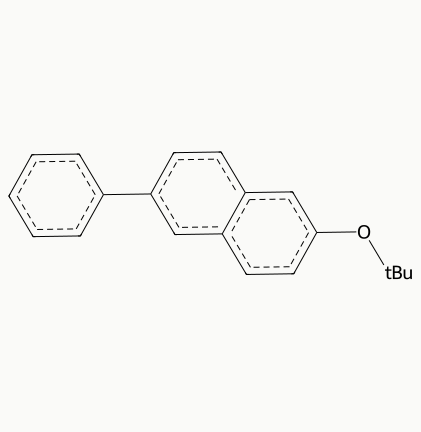 CC(C)(C)Oc1ccc2cc(-c3ccccc3)ccc2c1